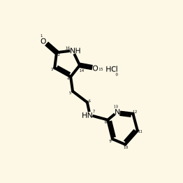 Cl.O=C1C=C(CCNc2ccccn2)C(=O)N1